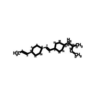 C/C=C/[C@H]1CC[C@H](/C=C/C2CCC([SiH2]C(C)OC)CC2)CC1